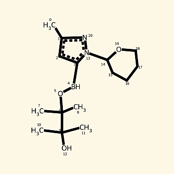 Cc1cc(BOC(C)(C)C(C)(C)O)n(C2CCCCO2)n1